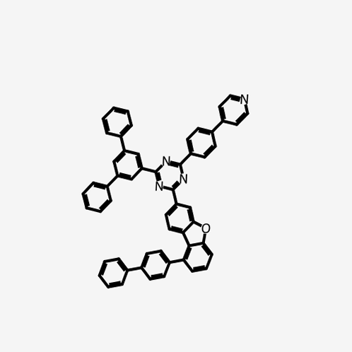 c1ccc(-c2ccc(-c3cccc4oc5cc(-c6nc(-c7ccc(-c8ccncc8)cc7)nc(-c7cc(-c8ccccc8)cc(-c8ccccc8)c7)n6)ccc5c34)cc2)cc1